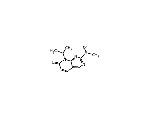 CC(C)n1c(=O)ccc2cnc([S+](C)[O-])nc21